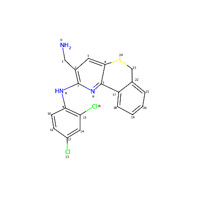 NCc1cc2c(nc1Nc1ccc(Cl)cc1Cl)-c1ccccc1CS2